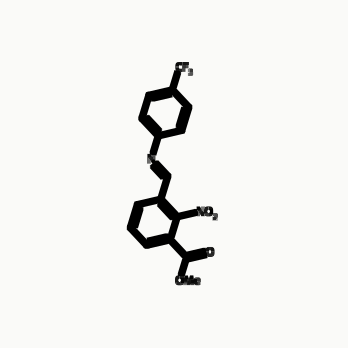 COC(=O)c1cccc(/C=N/c2ccc(C(F)(F)F)cc2)c1[N+](=O)[O-]